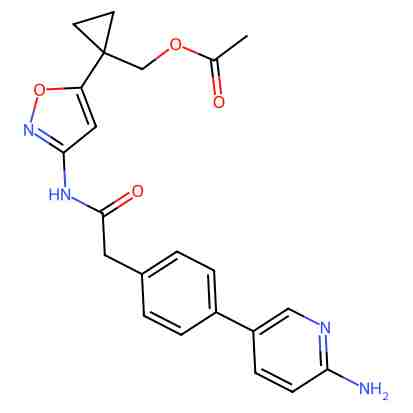 CC(=O)OCC1(c2cc(NC(=O)Cc3ccc(-c4ccc(N)nc4)cc3)no2)CC1